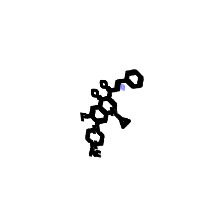 CC(=O)N1CCN(c2cc3c(cc2F)c(=O)c(C(=O)/C=C/c2ccccc2)cn3C2CC2)CC1